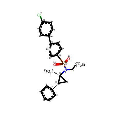 CCOC(=O)CN([C@@]1(C(=O)OCC)C[C@@H]1c1ccccc1)S(=O)(=O)c1ccc(-c2ccc(Cl)cc2)cc1